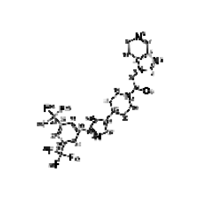 O=C(Cn1cnc2cnccc21)N1CCC(c2cnc(-c3cc(C(F)(F)F)cc(C(F)(F)F)c3)s2)CC1